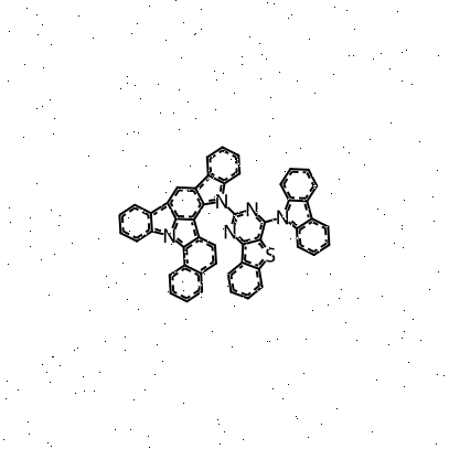 c1ccc2c(c1)ccc1c3c4c(cc5c6ccccc6n(c21)c53)c1ccccc1n4-c1nc(-n2c3ccccc3c3ccccc32)c2sc3ccccc3c2n1